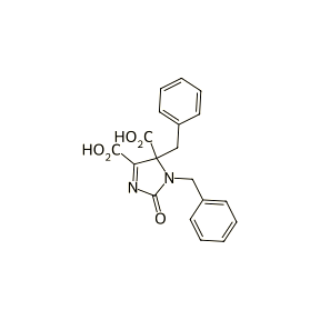 O=C(O)C1=NC(=O)N(Cc2ccccc2)C1(Cc1ccccc1)C(=O)O